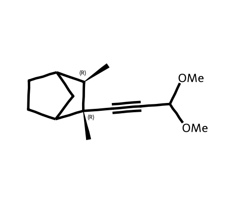 COC(C#C[C@]1(C)C2CCC(C2)[C@H]1C)OC